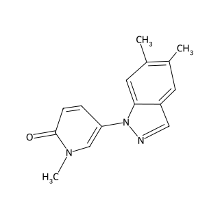 Cc1cc2cnn(-c3ccc(=O)n(C)c3)c2cc1C